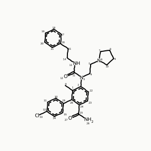 Cc1c(N(CCN2CCCC2)C(=O)NCCc2ccccc2)ccc(C(N)=O)c1-c1ccc(Cl)cc1